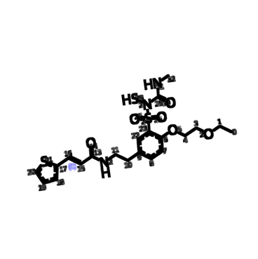 CCOCCOc1ccc(CCNC(=O)/C=C/c2cccs2)cc1S(=O)(=O)N(S)C(=O)NC